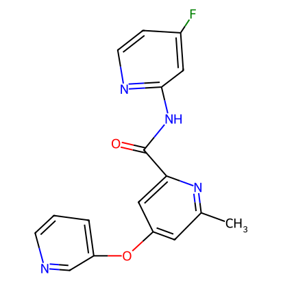 Cc1cc(Oc2cccnc2)cc(C(=O)Nc2cc(F)ccn2)n1